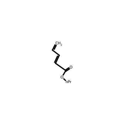 C=CC=CC(=O)OCCC